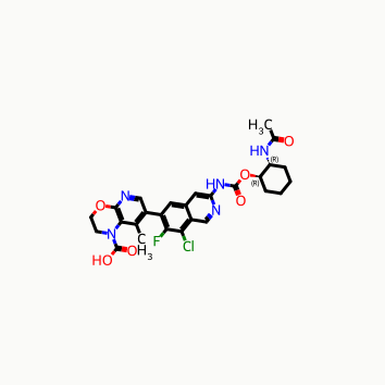 CC(=O)N[C@@H]1CCCC[C@H]1OC(=O)Nc1cc2cc(-c3cnc4c(c3C)N(C(=O)O)CCO4)c(F)c(Cl)c2cn1